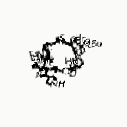 CCO[C@@H]1C2=NC(CS2)c2ccc3c(c2)c(c(-c2cc(C4CCNCC4)cnc2[C@H](C)OC)n3CC)CC(C)(C)COC(=O)[C@@H]2CCCN(N2)C(=O)[C@H]1NC(=O)OC(C)(C)C